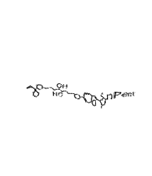 C=CC(=O)OCCCC(O)C(O)CCCOc1ccc2cc(-c3sc(CCCCC)cc3C)oc2c1